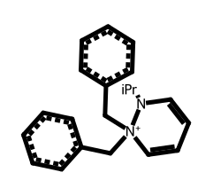 CC(C)N1C=CC=C[N+]1(Cc1ccccc1)Cc1ccccc1